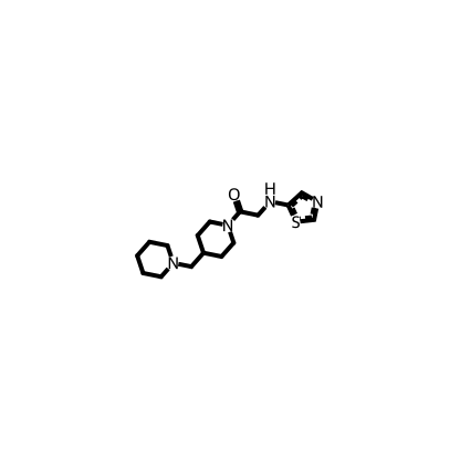 O=C(CNc1cncs1)N1CCC(CN2CCCCC2)CC1